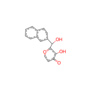 O=c1ccoc(C(O)c2ccc3ccccc3c2)c1O